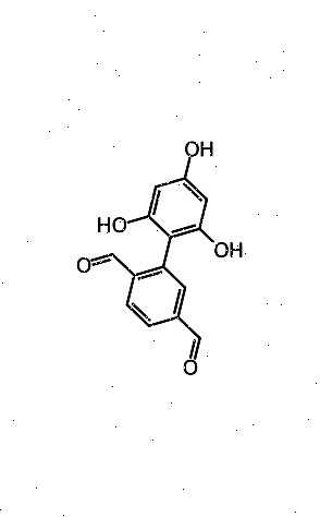 O=Cc1ccc(C=O)c(-c2c(O)cc(O)cc2O)c1